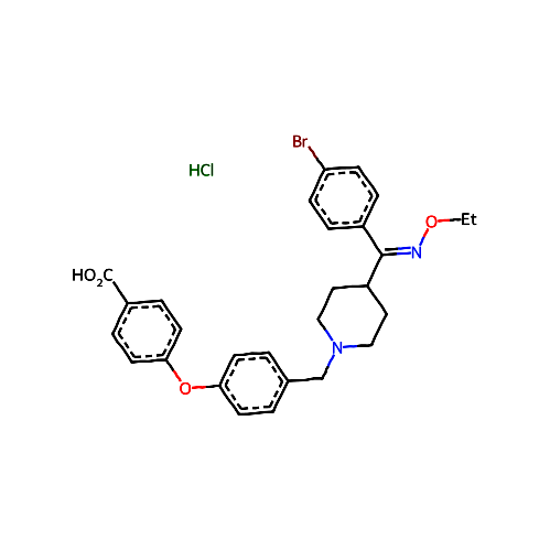 CCO/N=C(\c1ccc(Br)cc1)C1CCN(Cc2ccc(Oc3ccc(C(=O)O)cc3)cc2)CC1.Cl